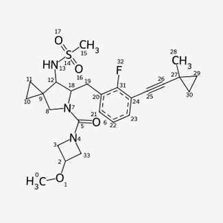 COC1CN(C(=O)N2CC3(CC3)C(NS(C)(=O)=O)C2Cc2cccc(C#CC3(C)CC3)c2F)C1